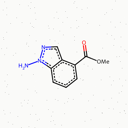 COC(=O)c1cccc2c1cnn2N